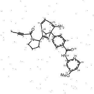 CC#CC(=O)N1CCCC1C1=NC2(c3ccc(C(=O)Nc4cc(OC)ccn4)cc3)CN1C=CN=C2N